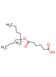 CCCCC(C)(CCCC)OC(=O)CCCCC(=O)O